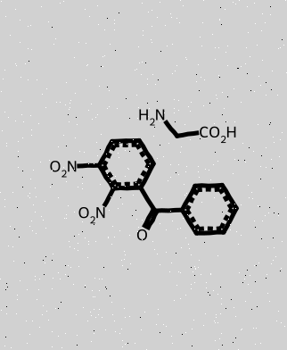 NCC(=O)O.O=C(c1ccccc1)c1cccc([N+](=O)[O-])c1[N+](=O)[O-]